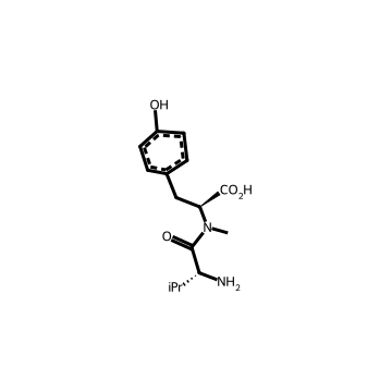 CC(C)[C@@H](N)C(=O)N(C)[C@@H](Cc1ccc(O)cc1)C(=O)O